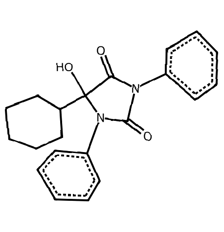 O=C1N(c2ccccc2)C(=O)C(O)(C2CCCCC2)N1c1ccccc1